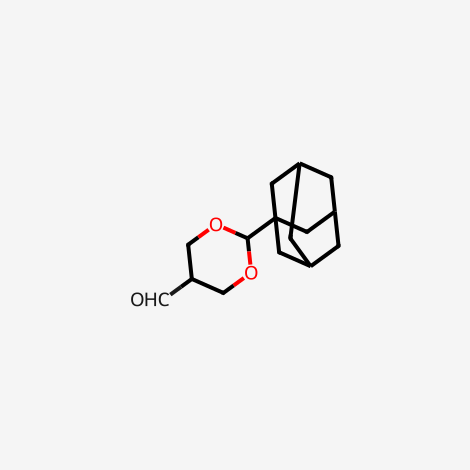 O=CC1COC(C23CC4CC(CC(C4)C2)C3)OC1